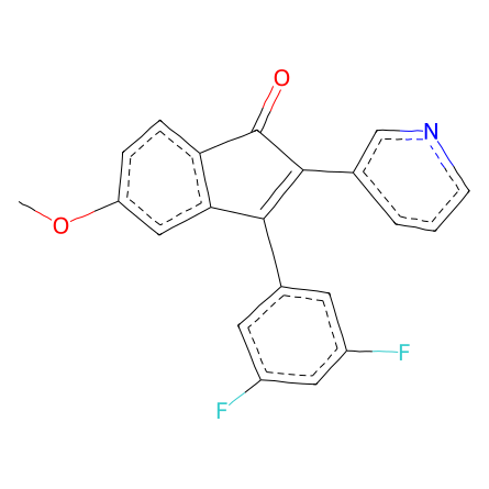 COc1ccc2c(c1)C(c1cc(F)cc(F)c1)=C(c1cccnc1)C2=O